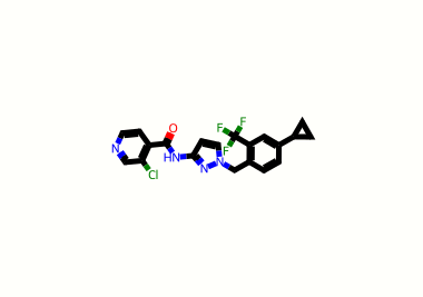 O=C(Nc1ccn(Cc2ccc(C3CC3)cc2C(F)(F)F)n1)c1ccncc1Cl